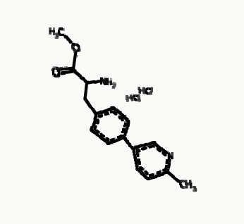 COC(=O)C(N)Cc1ccc(-c2ccc(C)nc2)cc1.Cl.Cl